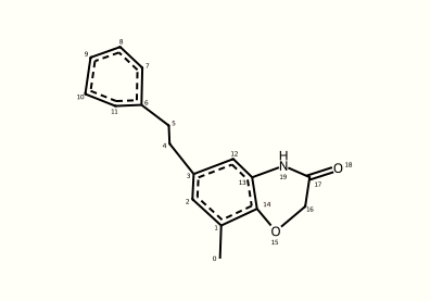 Cc1cc(CCc2ccccc2)cc2c1OCC(=O)N2